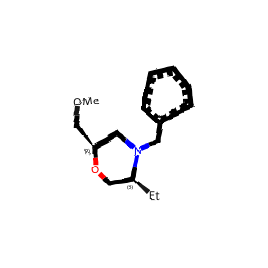 CC[C@H]1CO[C@@H](COC)CN1Cc1ccccc1